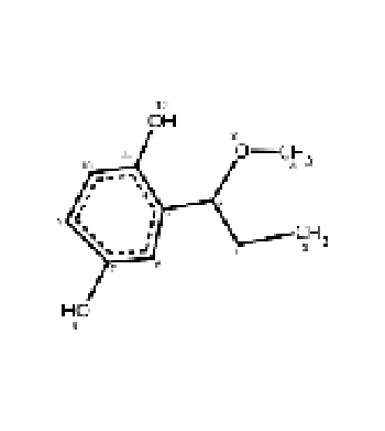 CCC(OC)c1cc(O)ccc1O